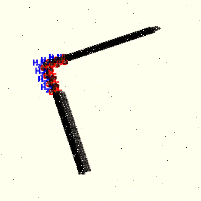 NS(=O)(=O)[O-].NS(=O)(=O)[O-].NS(=O)(=O)[O-].NS(=O)(=O)[O-].NS(=O)(=O)[O-].NS(=O)(=O)[O-].[Ni+2].[Ni+2].[Ni+2].[Ni+2].[Ni+2].[Ni+2].[Ni+2].[Ni+2].[Ni+2].[Ni+2].[Ni+2].[Ni+2].[Ni+2].[Ni+2].[Ni+2].[Ni+2].[Ni+2].[Ni+2].[Ni+2].[Ni+2].[Ni+2].[Ni+2].[Ni+2].[Ni+2].[Ni+2].[Ni+2].[Ni+2].[Ni+2].[Ni+2].[Ni+2].[Ni+2].[Ni+2].[Ni+2].[Ni+2].[Ni+2].[Ni+2].[Ni+2].[Ni+2].[Ni+2].[Ni+2].[Ni+2].[Ni+2].[Ni+2].[Ni+2].[Ni+2].[Ni+2].[Ni+2].[Ni+2].[Ni+2].[Ni+2].[Ni+2].[Ni+2].[Ni+2].[Ni+2].[Ni+2].[Ni+2].[Ni+2].[Ni+2].[Ni+2].[Ni+2].[Ni+2].[Ni+2].[Ni+2].[Ni+2].[Ni+2].[Ni+2].[Ni+2].[Ni+2].[Ni+2].[Ni+2].[Ni+2].[Ni+2].[Ni+2]